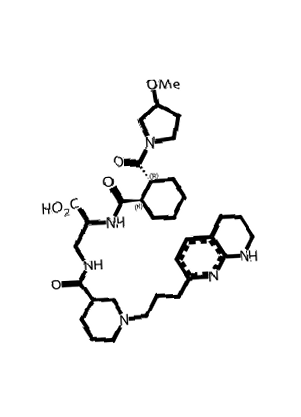 COC1CCN(C(=O)[C@@H]2CCCC[C@H]2C(=O)NC(CNC(=O)C2CCCN(CCCc3ccc4c(n3)NCCC4)C2)C(=O)O)C1